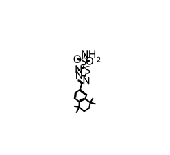 CC1(C)CCC(C)(C)c2cc(-c3cn4nc(S(N)(=O)=O)sc4n3)ccc21